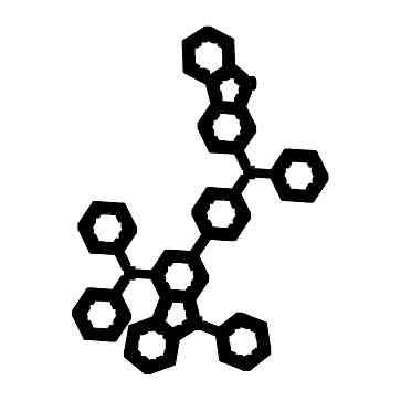 c1ccc(N(c2ccc(-c3cc(N(c4ccccc4)c4ccccc4)c4c5ccccc5n(-c5ccccc5)c4c3)cc2)c2ccc3c(c2)oc2ccccc23)cc1